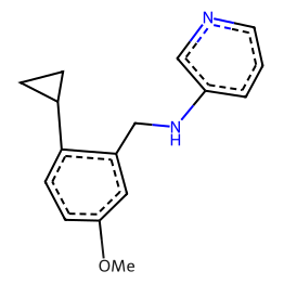 COc1ccc(C2CC2)c(CNc2cccnc2)c1